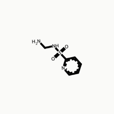 NCNS(=O)(=O)c1ccccn1